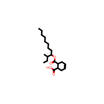 CCCCCCCCC(OC(=O)C1CC=CCC1C(=O)O)C(C)CC